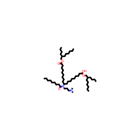 CCCCCCCCC(=O)N(CCCN(C)C)C(CCCCCCCCC(=O)OCC(CCCC)CCCCCC)CCCCCCCCC(O)OCC(CCCC)CCCCCC